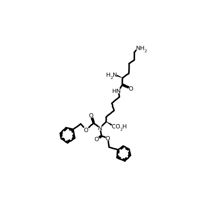 NCCCC[C@H](N)C(=O)NCCCC[C@@H](C(=O)O)N(C(=O)OCc1ccccc1)C(=O)OCc1ccccc1